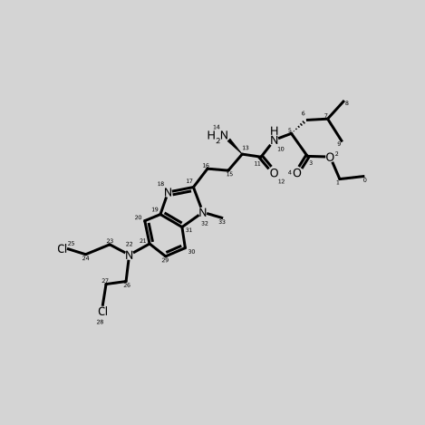 CCOC(=O)[C@@H](CC(C)C)NC(=O)[C@H](N)CCc1nc2cc(N(CCCl)CCCl)ccc2n1C